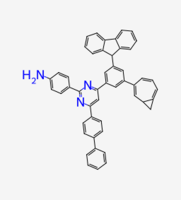 Nc1ccc(-c2nc(-c3ccc(-c4ccccc4)cc3)cc(-c3cc(C4=CC5CC5=CC=C4)cc(C4c5ccccc5-c5ccccc54)c3)n2)cc1